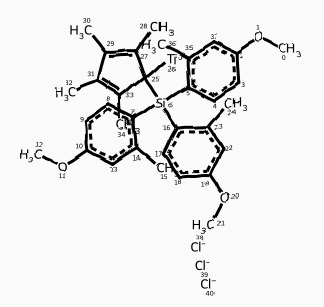 COc1ccc([Si](c2ccc(OC)cc2C)(c2ccc(OC)cc2C)[C]2([Ti+3])C(C)=C(C)C(C)=C2C)c(C)c1.[Cl-].[Cl-].[Cl-]